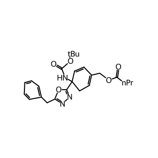 CCCC(=O)OCC1=CCC(NC(=O)OC(C)(C)C)(c2nnc(Cc3ccccc3)o2)C=C1